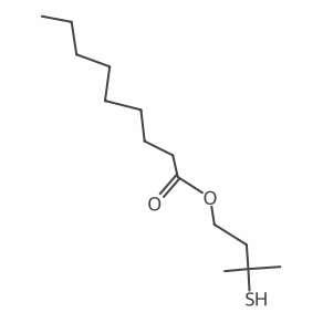 CCCCCCCCC(=O)OCCC(C)(C)S